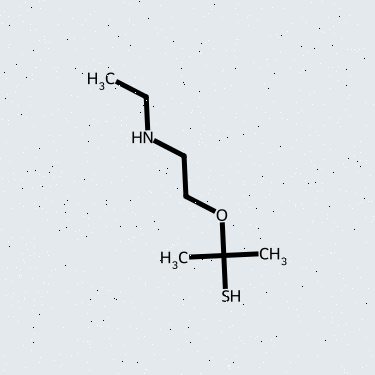 CCNCCOC(C)(C)S